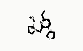 CCc1ccc([C@@H]2CCOC2)c(CN2CCC[C@@H]2CO)n1